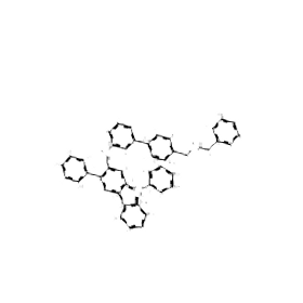 c1ccc(CNCc2ccc(-c3cccc(Nc4cc5c(cc4-c4ccccc4)c4ccccc4n5-c4ccccc4)c3)cc2)cc1